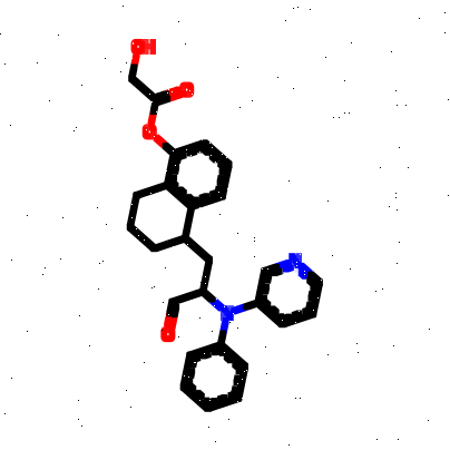 O=CC(CC1CCCc2c(OC(=O)CO)cccc21)N(c1ccccc1)c1cccnc1